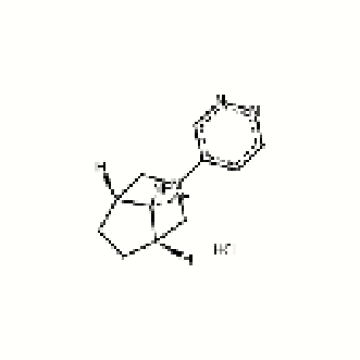 Cl.N[C@@H]1[C@@H]2CC[C@H]1CN(c1ccnnc1)C2